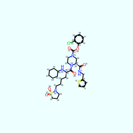 O=C(NCc1cccs1)[C@@H]1CN(C(=O)Oc2ccccc2Cl)CCN1C(=O)[C@@H](CCCCN1CCCS1(=O)=O)NC1CCCCC1